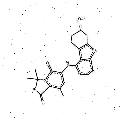 Cc1cc(Nc2ncnc3sc4c(c23)CC[C@H](C(=O)O)C4)c(=O)n2c1C(=O)NC2(C)C